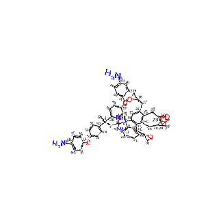 CC(CC(N)(N)C(C)(c1ccccc1)c1cc(CC2CO2)c(CC2CO2)c(CC2CO2)c1CC1CO1)(c1ccc(Oc2ccc(N)cc2)cc1)c1ccc(Oc2ccc(N)cc2)cc1